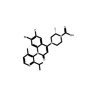 Cc1ccnc(C(C)C)c1-n1c(=O)cc(N2CCN(C(=O)O)[C@@H](C)C2)c2cc(F)c(Br)cc21